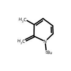 C=C1C(C)=CC=CN1C(C)(C)C